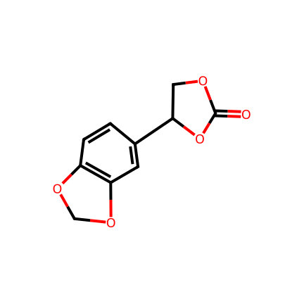 O=C1OCC(c2ccc3c(c2)OCO3)O1